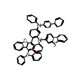 c1ccc(-c2ccc(N(c3ccccc3)c3ccc(-c4cc5c6ccccc6n(-c6ccccc6)c5c5c4oc4ccccc45)c(N(c4ccccc4)c4ccc5c(c4)sc4ccccc45)c3)cc2)cc1